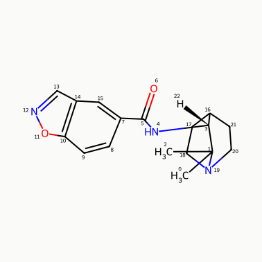 CC1(C)[C@H](NC(=O)c2ccc3oncc3c2)C2CCN1CC2